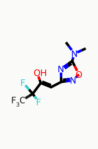 CN(C)c1nc(C=C(O)C(F)(F)C(F)(F)F)no1